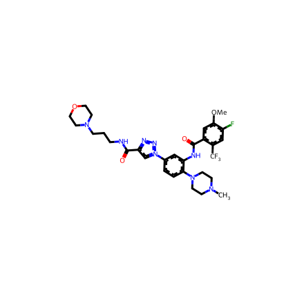 COc1cc(C(=O)Nc2cc(-n3cc(C(=O)NCCCN4CCOCC4)nn3)ccc2N2CCN(C)CC2)c(C(F)(F)F)cc1F